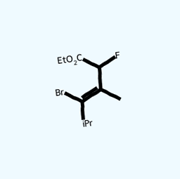 CCOC(=O)C(F)C(C)=C(Br)C(C)C